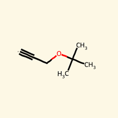 [C]#CCOC(C)(C)C